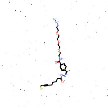 [N-]=[N+]=NCCOCCOCCOCCNC(=O)c1ccc(/C=N\NC(=O)CCCCC#CCS)cc1